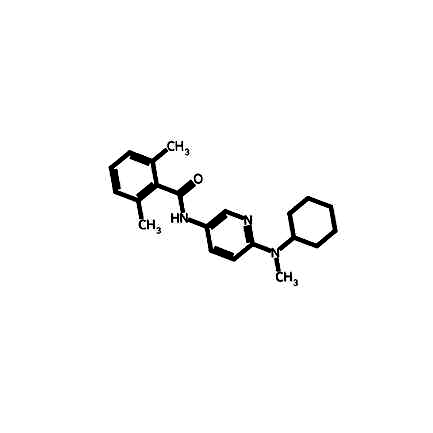 Cc1cccc(C)c1C(=O)Nc1ccc(N(C)C2CCCCC2)nc1